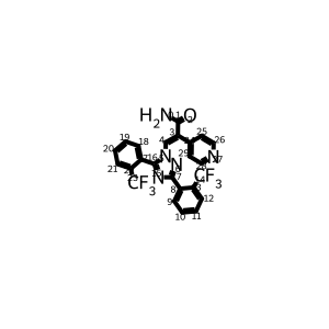 NC(=O)/C(=C/n1nc(-c2ccccc2C(F)(F)F)nc1-c1ccccc1C(F)(F)F)c1ccncc1